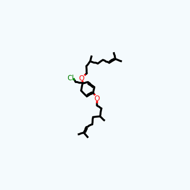 CC(C)=CCCC(C)CCOC1=CCC(CCl)(OCCC(C)CCC=C(C)C)C=C1